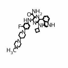 CN1CCN(C2CCN(c3ccc(Nc4nc(NC5CCC5)c(-c5cccc6[nH]ccc56)nc4C(N)=O)cc3F)CC2)CC1